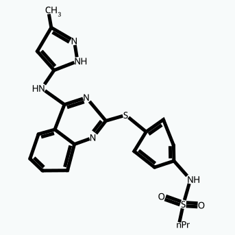 CCCS(=O)(=O)Nc1ccc(Sc2nc(Nc3cc(C)n[nH]3)c3ccccc3n2)cc1